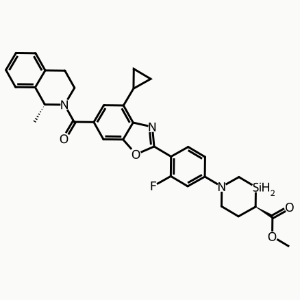 COC(=O)[C@H]1CCN(c2ccc(-c3nc4c(C5CC5)cc(C(=O)N5CCc6ccccc6[C@H]5C)cc4o3)c(F)c2)C[SiH2]1